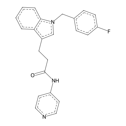 O=C(CCc1cn(Cc2ccc(F)cc2)c2ccccc12)Nc1ccncc1